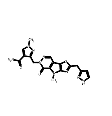 Cn1cc(C(N)=O)c(Cn2ncc3c4sc(Cc5cc[nH]n5)nc4n(C)c3c2=O)n1